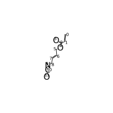 C=CC(=O)OCC=CCN=C=O